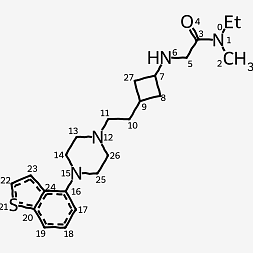 CCN(C)C(=O)CNC1CC(CCN2CCN(c3cccc4sccc34)CC2)C1